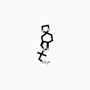 CC(C)(CC(=O)O)n1cc2c(n1)CCC1(C2)OCCO1